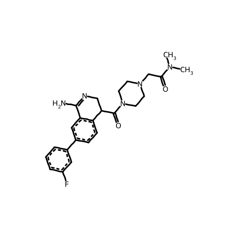 CN(C)C(=O)CN1CCN(C(=O)C2CN=C(N)c3cc(-c4cccc(F)c4)ccc32)CC1